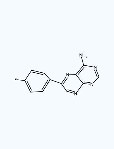 Nc1ncnc2ncc(-c3ccc(F)cc3)nc12